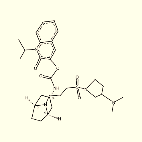 CC(C)n1c(=O)c(OC(=O)N[C@@H]2C[C@H]3CC[C@@H](C2)N3CCCS(=O)(=O)N2CCC(N(C)C)C2)cc2ccccc21